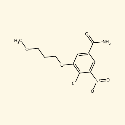 COCCCOc1cc(C(N)=O)cc([N+](=O)[O-])c1Cl